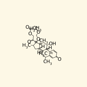 COCO[C@]1(C(=O)COC(C)=O)C(C)C[C@H]2[C@@H]3CC(C)C4=CC(=O)C=C[C@]4(C)[C@H]3C(O)C[C@@]21C